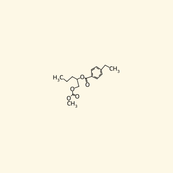 CCCC(COC(=O)OC)OC(=O)c1ccc(CC)cc1